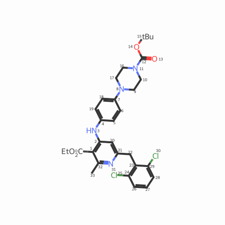 CCOC(=O)c1c(Nc2ccc(N3CCN(C(=O)OC(C)(C)C)CC3)cc2)cc(Cc2c(Cl)cccc2Cl)nc1C